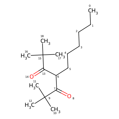 CCCCCCC(C(=O)C(C)(C)C)C(=O)C(C)(C)C